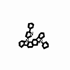 c1ccc(-c2ccc(-n3c4ccccc4c4ccc5cc6c(cc5c43)c3ccccc3n6-c3ccccc3)cn2)cc1